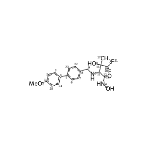 COc1ccc(-c2ccc(CNC(C(=O)NO)C(C)(O)C(F)F)cc2)cc1